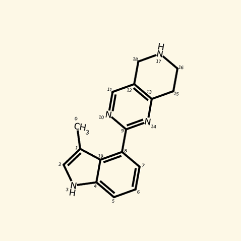 Cc1c[nH]c2cccc(-c3ncc4c(n3)CCNC4)c12